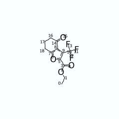 CCOC(=O)c1oc2c(c1C(F)(F)F)C(=O)CCC2